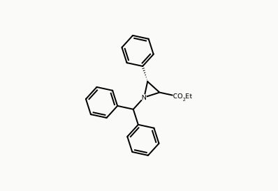 CCOC(=O)C1[C@@H](c2ccccc2)N1C(c1ccccc1)c1ccccc1